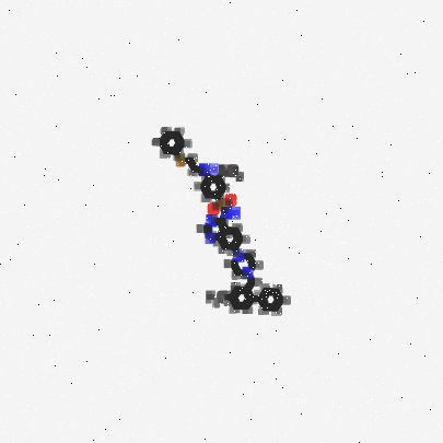 O=[N+]([O-])c1cc(S(=O)(=O)Nc2ncnc3cc(N4CCN(Cc5cc(C(F)(F)F)ccc5-c5ccccc5)CC4)ccc23)ccc1NCCSc1ccccc1